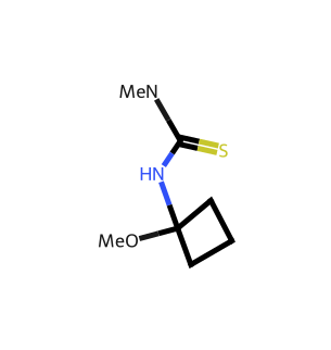 CNC(=S)NC1(OC)CCC1